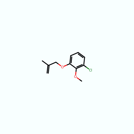 C=C(C)COc1cccc(Cl)c1OC